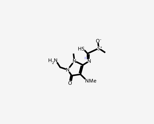 CNc1c(/N=C(\S)[S+](C)[O-])n(C)n(CN)c1=O